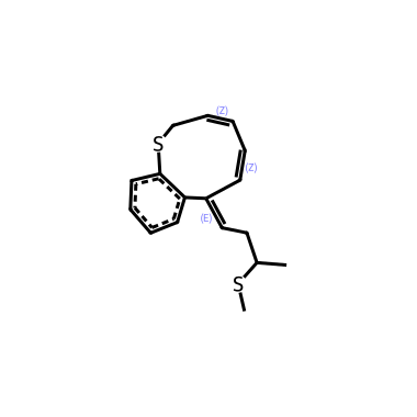 CSC(C)C\C=C1/C=C\C=C/CSc2ccccc21